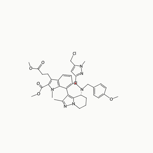 COC(=O)CCc1c(C(=O)OC)n(C)c2c(-c3c(C)nn4c3[C@H](N(Cc3ccc(OC)cc3)Cc3cc(CCl)n(C)n3)CCC4)c(Cl)ccc12